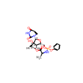 C#C[C@@]1(O)[C@H](OC(C)=O)[C@@H](COP(=O)(NC(C)C(=O)OC(C)C)Oc2ccccc2)O[C@H]1n1ccc(=O)[nH]c1=O